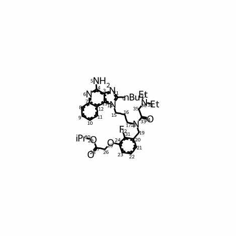 CCCCc1nc2c(N)nc3ccccc3c2n1CCCN(Cc1cccc(OCC(=O)OC(C)C)c1F)C(=O)CN(CC)CC